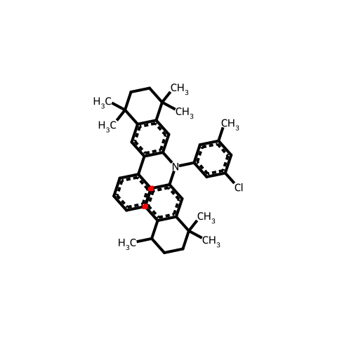 Cc1cc(Cl)cc(N(c2ccc3c(c2)C(C)(C)CCC3C)c2cc3c(cc2-c2ccccc2)C(C)(C)CCC3(C)C)c1